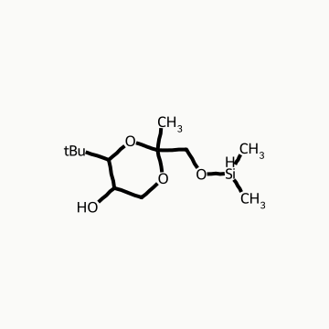 C[SiH](C)OCC1(C)OCC(O)C(C(C)(C)C)O1